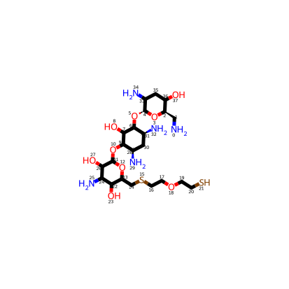 NC[C@H]1O[C@H](OC2C(O)C(OC3OC(CSCCOCCS)C(O)C(N)C3O)[C@H](N)C[C@@H]2N)C(N)CC1O